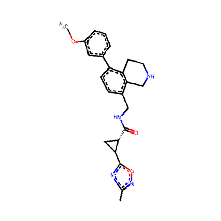 Cc1noc(C2C[C@@H]2C(=O)NCc2ccc(-c3cccc(OC(F)(F)F)c3)c3c2CNCC3)n1